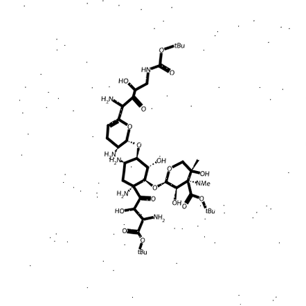 CN[C@]1(C(=O)OC(C)(C)C)[C@@H](O)[C@@H](O[C@@H]2[C@@H](O)[C@H](O[C@H]3OC(C(N)C(=O)C(O)CNC(=O)OC(C)(C)C)=CC[C@H]3N)[C@@H](N)C[C@]2(N)C(=O)C(O)C(N)C(=O)OC(C)(C)C)OC[C@]1(C)O